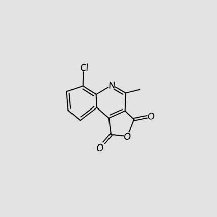 Cc1nc2c(Cl)cccc2c2c1C(=O)OC2=O